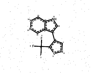 FC(F)(F)c1sncc1-c1c[nH]c2cnncc12